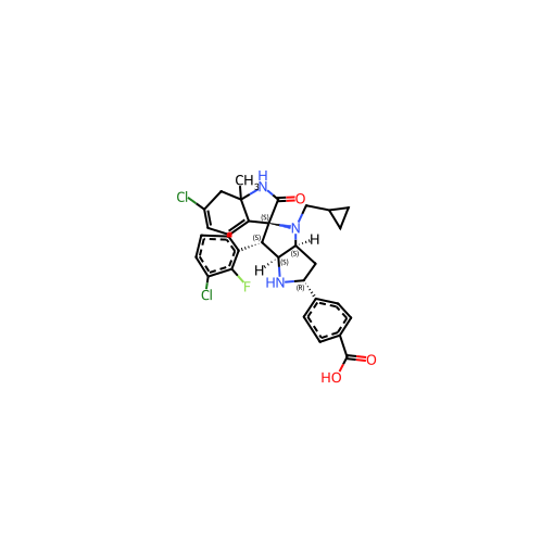 CC12CC(Cl)=CC=C1[C@]1(C(=O)N2)[C@@H](c2cccc(Cl)c2F)[C@@H]2N[C@@H](c3ccc(C(=O)O)cc3)C[C@@H]2N1CC1CC1